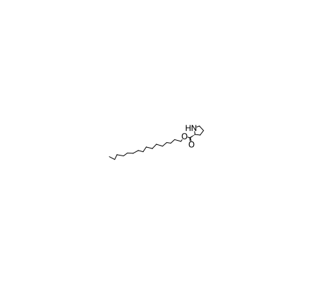 CCCCCCCCCCCCCCCCOC(=O)[C@@H]1CCCN1